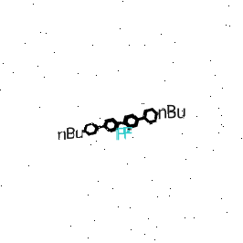 CCCCC1CCC(c2ccc(-c3ccc(C4CCC(CCCC)CC4)cc3F)c(F)c2)CC1